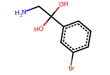 NCC(O)(O)c1cccc(Br)c1